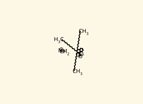 C=O.CCCCCCCCCCCCc1c(CCCCCCCCCCCC)c(S(=O)(=O)[O-])c2ccccc2c1CCCCCCCCCCCC.[Na+]